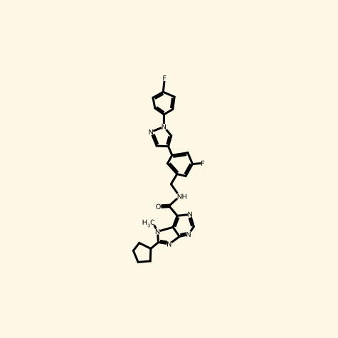 Cn1c(C2CCCC2)nc2ncnc(C(=O)NCc3cc(F)cc(-c4cnn(-c5ccc(F)cc5)c4)c3)c21